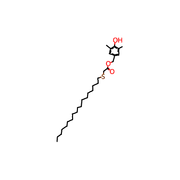 CCCCCCCCCCCCCCCCCCSCC(=O)OCc1cc(C)c(O)c(C)c1